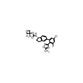 Cc1nc(-c2c(F)cc(Cl)cc2-c2ccc3c(c2)CC[C@@H]3NC(=O)OC2(N)COC2)no1